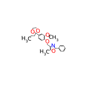 CCCC1(c2ccc(OCc3nc(-c4ccccc4)oc3C)c(OC)c2)OCCO1